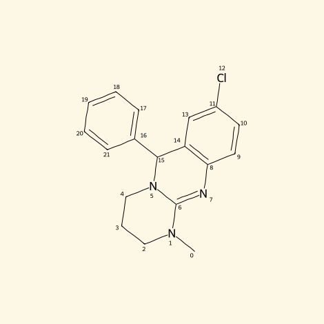 CN1CCCN2C1=Nc1ccc(Cl)cc1C2c1ccccc1